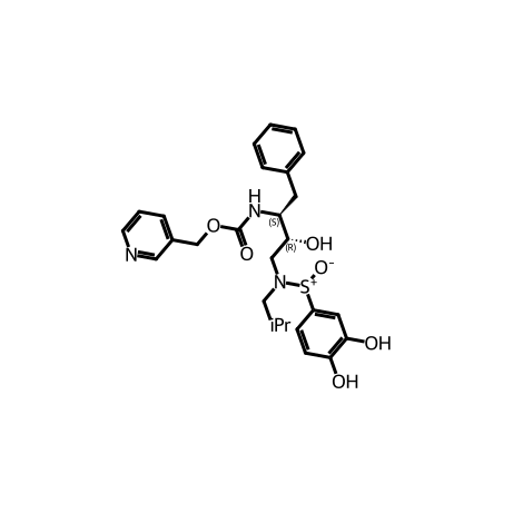 CC(C)CN(C[C@@H](O)[C@H](Cc1ccccc1)NC(=O)OCc1cccnc1)[S+]([O-])c1ccc(O)c(O)c1